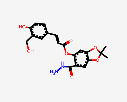 CC1(C)Oc2cc(OC(=O)/C=C/c3ccc(O)c(CO)c3)c(C(=O)NN)cc2O1